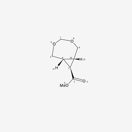 COC(=O)[C@H]1[C@@H]2COCOC[C@@H]21